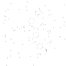 O=C(c1ccc2c(c1)C(=O)OC2=O)c1ccc2c(c1)C(=O)N(c1cc(-n3ccnc3Cl)ccc1O)C2=O